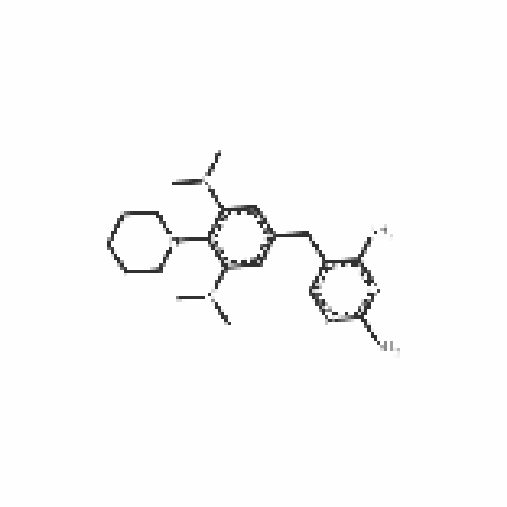 CN(C)c1cc(Cc2cnc(N)nc2N)cc(N(C)C)c1N1CCCCC1